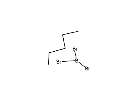 BrB(Br)Br.CCCCC